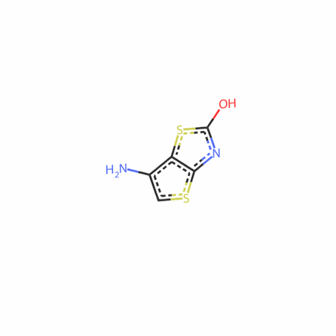 Nc1csc2nc(O)sc12